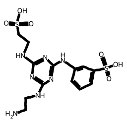 NCCNc1nc(NCCS(=O)(=O)O)nc(Nc2cccc(S(=O)(=O)O)c2)n1